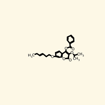 CC/C=C/CCOc1ccc2c(OC(=O)c3ccccc3)c(OC(C)C)c(=O)oc2c1